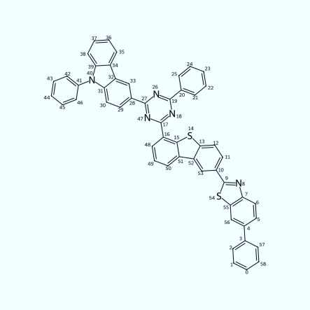 c1ccc(-c2ccc3nc(-c4ccc5sc6c(-c7nc(-c8ccccc8)nc(-c8ccc9c(c8)c8ccccc8n9-c8ccccc8)n7)cccc6c5c4)sc3c2)cc1